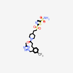 Cc1nnn(Cc2cc(C(F)(F)F)ccc2CCC(=O)N2CCC(CCS(=O)(=O)c3ncc(S(N)(=O)=O)s3)CC2)n1